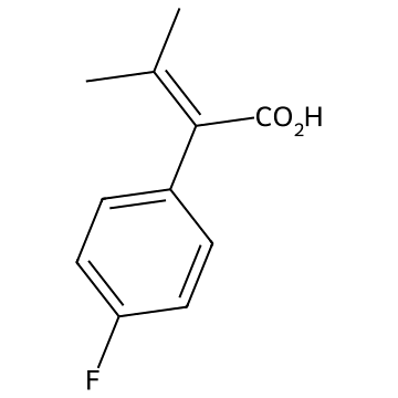 CC(C)=C(C(=O)O)c1ccc(F)cc1